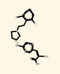 CC(=Cc1cnc(N[C@@H]2CCN(CCc3c(F)cccc3F)C2)cn1)C(=O)O